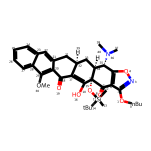 CCCCOc1noc2c1C(=O)[C@@]1(O[Si](C)(C)C(C)(C)C)C(O)=C3C(=O)c4c(cc5ccccc5c4OC)C[C@H]3C[C@H]1[C@@H]2N(C)C